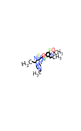 C=C/C=C(\C(N)c1ncnc(Oc2cc(F)c3c(cc(C)n3C(C)=O)c2F)c1F)N1CCN(CC)CC1